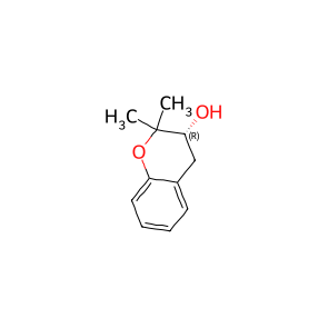 CC1(C)Oc2ccccc2C[C@H]1O